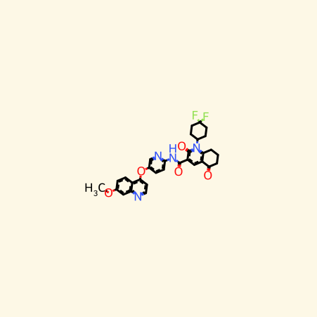 COc1ccc2c(Oc3ccc(NC(=O)c4cc5c(n(C6CCC(F)(F)CC6)c4=O)CCCC5=O)nc3)ccnc2c1